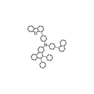 c1ccc(-c2c(-c3ccccc3)c3cc(N(c4ccc(-c5cccc6ccccc56)cc4)c4ccc(-c5cccc6c5oc5ccccc56)cc4)ccc3c3ccccc23)cc1